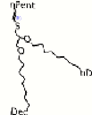 CCCCC/C=C/SCC(COCCCCCCCCCCCCCCCCCC)OCCCCCCCCCCCCCCCCCC